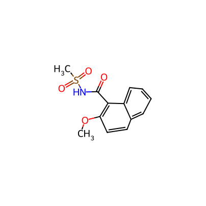 COc1ccc2ccccc2c1C(=O)NS(C)(=O)=O